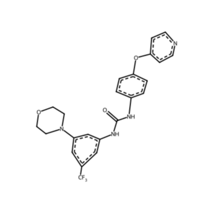 O=C(Nc1ccc(Oc2ccncc2)cc1)Nc1cc(N2CCOCC2)cc(C(F)(F)F)c1